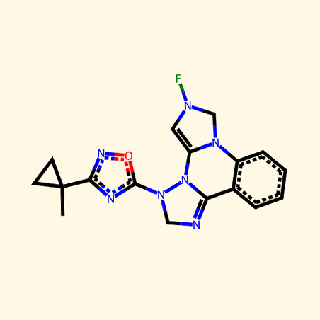 CC1(c2noc(N3CN=C4c5ccccc5N5CN(F)C=C5N43)n2)CC1